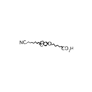 CC1(/C=C/CCCCCCC#N)CCc2cc(OCCCCCCC(=O)O)ccc2O1